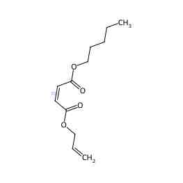 C=CCOC(=O)/C=C\C(=O)OCCCCC